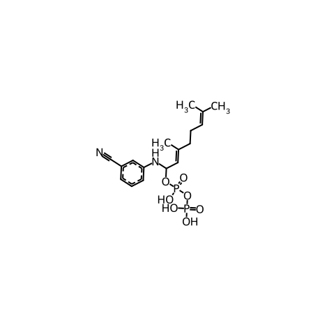 CC(C)=CCC/C(C)=C/C(Nc1cccc(C#N)c1)OP(=O)(O)OP(=O)(O)O